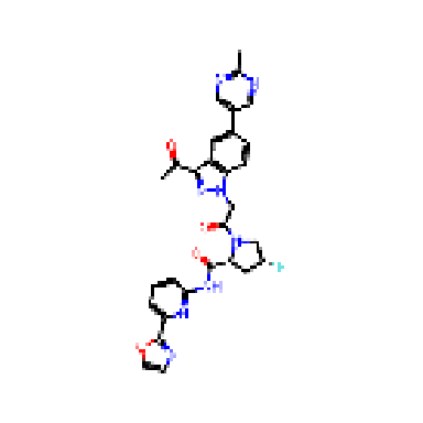 CC(=O)c1nn(CC(=O)N2C[C@H](F)C[C@H]2C(=O)Nc2cccc(-c3ncco3)n2)c2ccc(-c3cnc(C)nc3)cc12